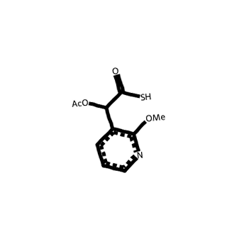 COc1ncccc1C(OC(C)=O)C(=O)S